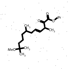 COC(C)(C)CCCC(C)CC=CC(C)C(=O)C(=O)OC(C)C